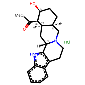 COC(=O)[C@@H]1[C@@H]2C[C@H]3c4[nH]c5ccccc5c4CCN3C[C@@H]2CC[C@@H]1O.Cl